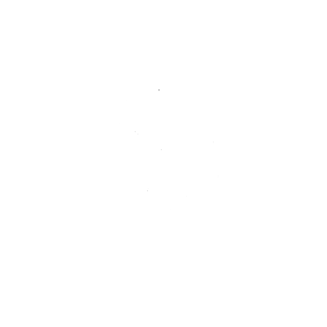 Cc1c(OC(C(C)O)[N+](C)(C)C)cc2c(=O)c3ccccc3sc2c1C